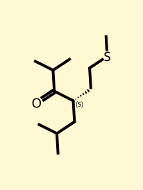 CSCC[C@H](CC(C)C)C(=O)C(C)C